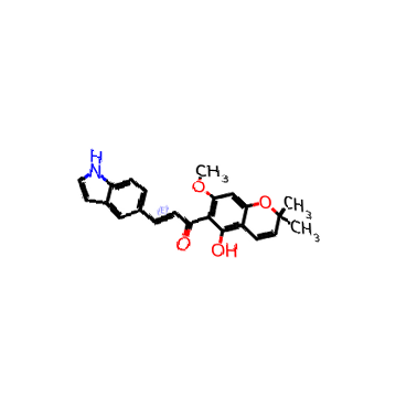 COc1cc2c(c(O)c1C(=O)/C=C/c1ccc3[nH]ccc3c1)C=CC(C)(C)O2